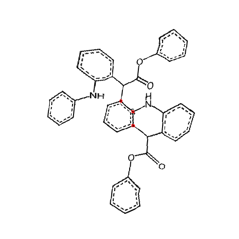 O=C(Oc1ccccc1)C(CSCC(C(=O)Oc1ccccc1)c1ccccc1Nc1ccccc1)c1ccccc1Nc1ccccc1